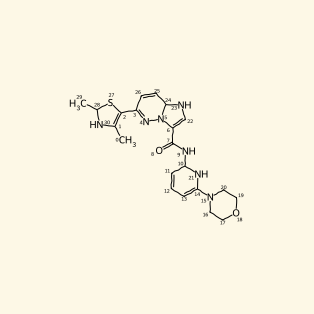 CC1=C(C2=NN3C(C(=O)NC4C=CC=C(N5CCOCC5)N4)=CNC3C=C2)SC(C)N1